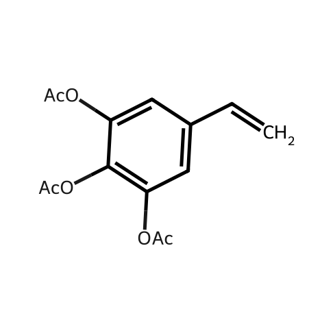 C=Cc1cc(OC(C)=O)c(OC(C)=O)c(OC(C)=O)c1